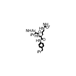 CC(=O)N[C@@H](C(=O)N[C@@H](CCCNC(N)=O)C(=O)Nc1ccc(CC(C)C)cc1)C(C)C